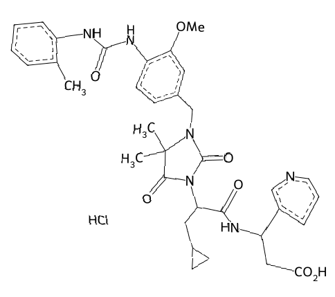 COc1cc(CN2C(=O)N(C(CC3CC3)C(=O)NC(CC(=O)O)c3cccnc3)C(=O)C2(C)C)ccc1NC(=O)Nc1ccccc1C.Cl